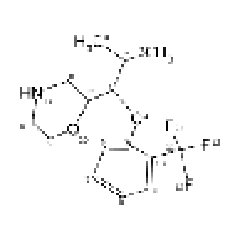 CC(C)C(Oc1ccccc1C(F)(F)F)C1CNCCO1